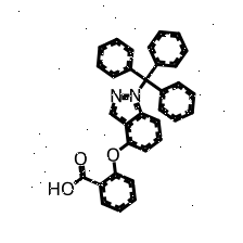 O=C(O)c1ccccc1Oc1cccc2c1cnn2C(c1ccccc1)(c1ccccc1)c1ccccc1